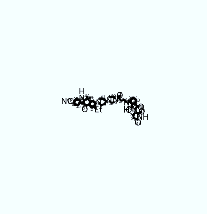 CCc1cc2c(cc1N1CCC(N3CCN(C(=O)CCNc4cccc5c4C(=O)N(C4CCC(=O)NC4=O)C5=O)CC3)CC1)C(C)(C)c1[nH]c3cc(C#N)ccc3c1C2=O